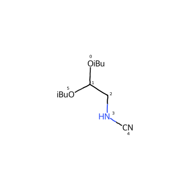 CC(C)COC(CNC#N)OCC(C)C